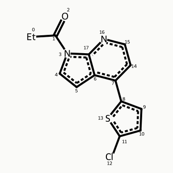 CCC(=O)n1ccc2c(-c3ccc(Cl)s3)ccnc21